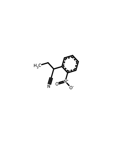 CCC(C#N)c1ccccc1[N+](=O)[O-]